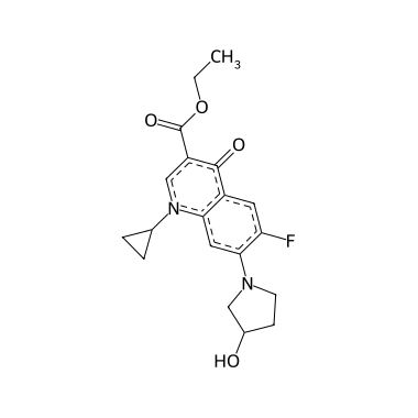 CCOC(=O)c1cn(C2CC2)c2cc(N3CCC(O)C3)c(F)cc2c1=O